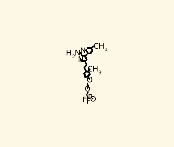 CCc1ccc2c(c1)nc(N)c1ncc(CCc3ccc(OCCOCCC(F)(F)P=O)cc3C)cc12